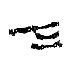 C=C.CCO.CCO.COC